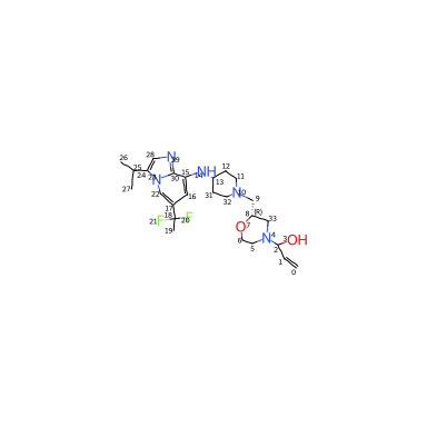 C=CC(O)N1CCO[C@H](CN2CCC(Nc3cc(C(C)(F)F)cn4c(C(C)C)cnc34)CC2)C1